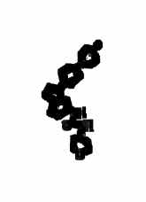 CN1CCN(c2ccc(C3=CCc4ccc(NC(=O)NN5CCOCC5)cc43)cc2)CC1